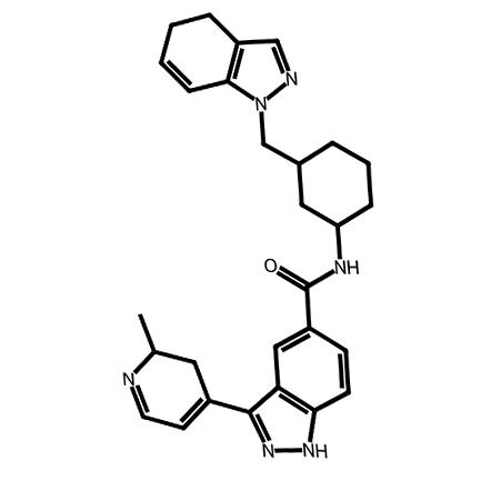 CC1CC(c2n[nH]c3ccc(C(=O)NC4CCCC(Cn5ncc6c5C=CCC6)C4)cc23)=CC=N1